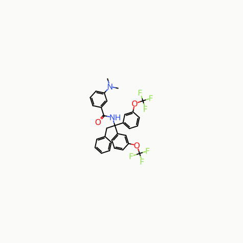 CN(C)c1cccc(C(=O)NC(Cc2ccccc2)(c2cccc(OC(F)(F)F)c2)c2cccc(OC(F)(F)F)c2)c1